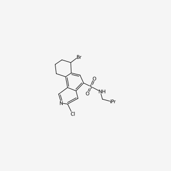 CC(C)CNS(=O)(=O)c1cc2c(c3cnc(Cl)cc13)CCCC2Br